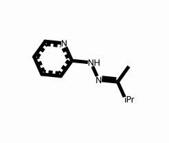 C/C(=N\Nc1ccccn1)C(C)C